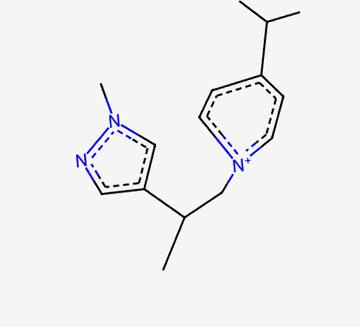 CC(C)c1cc[n+](CC(C)c2cnn(C)c2)cc1